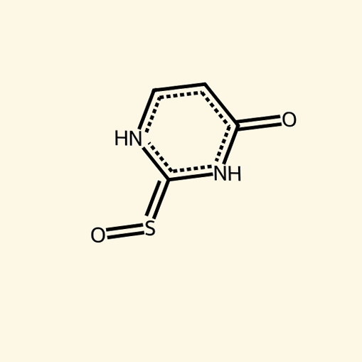 O=S=c1[nH]ccc(=O)[nH]1